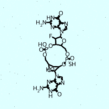 Nc1nc2c(ncn2C2OC3COP(=O)(S)OC4C(O)C(COP(=O)(O)OC3C2F)OC4n2cnc3c(=O)[nH]c(N)nc32)c(=O)[nH]1